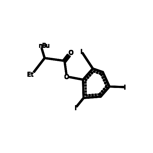 CCCCC(CC)C(=O)Oc1c(I)cc(I)cc1I